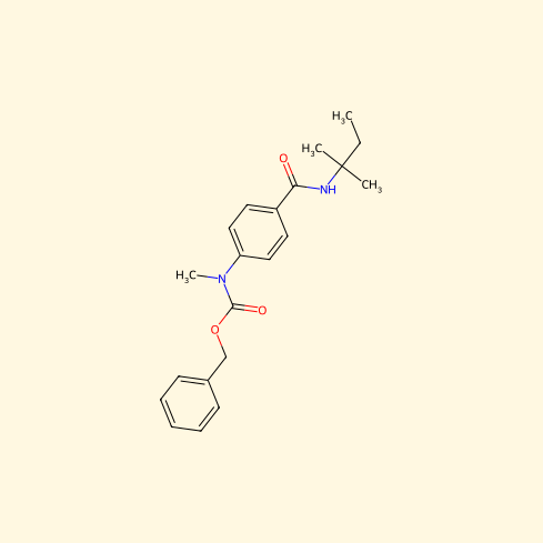 CCC(C)(C)NC(=O)c1ccc(N(C)C(=O)OCc2ccccc2)cc1